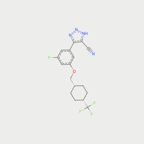 N#Cc1[nH]nnc1-c1cc(F)cc(OC[C@H]2CC[C@@H](C(F)(F)F)CC2)c1